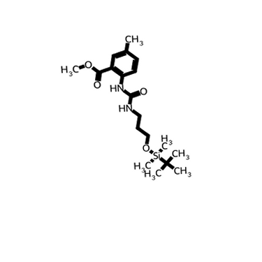 COC(=O)c1cc(C)ccc1NC(=O)NCCCO[Si](C)(C)C(C)(C)C